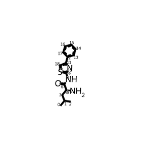 CC(C)C[C@H](N)C(=O)Nc1nc(-c2ccccc2)cs1